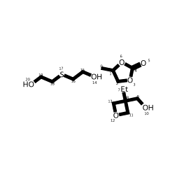 CC1COC(=O)O1.CCC1(CO)COC1.OCCSCCO